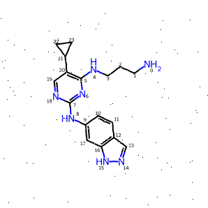 NCCCNc1nc(Nc2ccc3cn[nH]c3c2)ncc1C1CC1